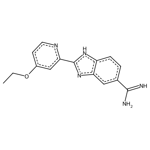 CCOc1ccnc(-c2nc3cc(C(=N)N)ccc3[nH]2)c1